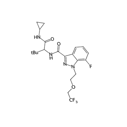 CC(C)(C)C(NC(=O)c1nn(CCOCC(F)(F)F)c2c(F)cccc12)C(=O)NC1CC1